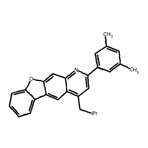 Cc1cc(C)cc(-c2cc(CC(C)C)c3cc4c(cc3n2)oc2ccccc24)c1